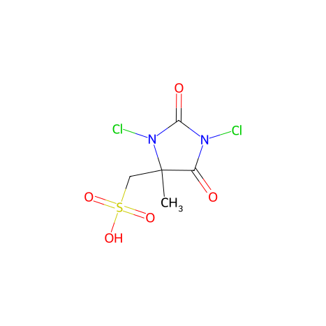 CC1(CS(=O)(=O)O)C(=O)N(Cl)C(=O)N1Cl